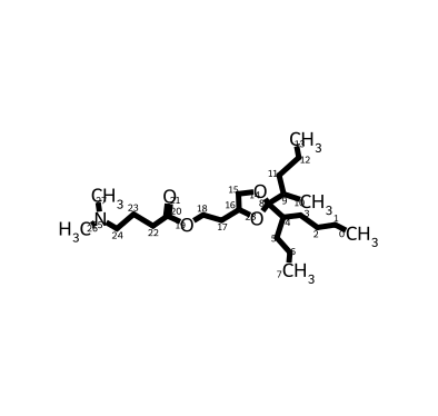 CCCCC(CCC)C1(C(C)CCC)OCC(CCOC(=O)CCCN(C)C)O1